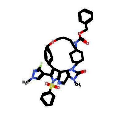 Cn1cc(-c2c3c4c(ncc5c4n(c(=O)n5C)C4CCC(NC(=O)OCc5ccccc5)(CCCOc5ccc-3cc5)CC4)n2S(=O)(=O)c2ccccc2)c(F)n1